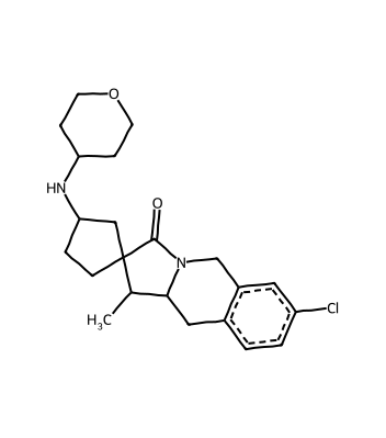 CC1C2Cc3ccc(Cl)cc3CN2C(=O)C12CCC(NC1CCOCC1)C2